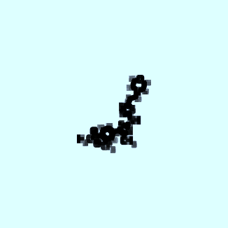 Cc1nc(Nc2nnc(CCN3CCOCC3)s2)sc1-c1ccc(S(C)(=O)=O)c(C(F)(F)F)c1